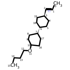 C/C=C/[C@H]1CC[C@H](C2CCC(OCCCC)CC2)CC1